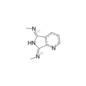 C/N=C1\N/C(=N\C)c2ncccc21